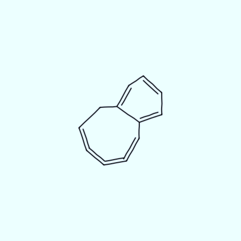 C1=C=CCc2ccccc2C=C=1